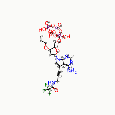 CCCO[C@@H]1C[C@H](n2cc(C#CCNC(=O)C(F)(F)F)c3c(N)ncnc32)OC1COP(=O)(O)OP(=O)(O)OP(=O)(O)O